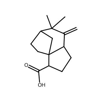 C=C1C2CCC(C(=O)O)C23CCC(C3)C1(C)C